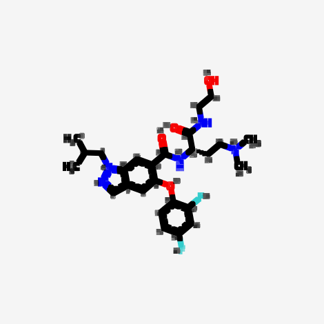 CC(C)Cn1ncc2cc(Oc3ccc(F)cc3F)c(C(=O)N[C@@H](CCN(C)C)C(=O)NCCO)cc21